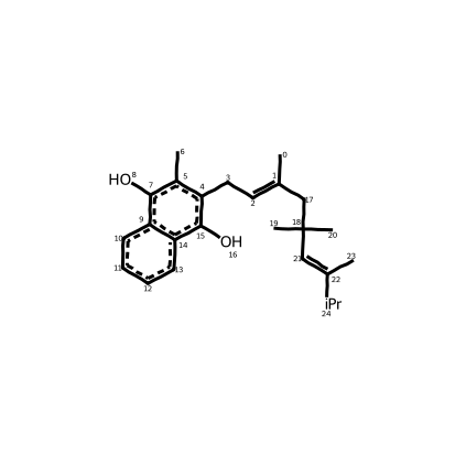 C/C(=C\Cc1c(C)c(O)c2ccccc2c1O)CC(C)(C)/C=C(\C)C(C)C